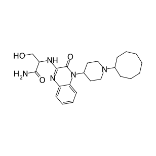 NC(=O)C(CO)Nc1nc2ccccc2n(C2CCN(C3CCCCCCC3)CC2)c1=O